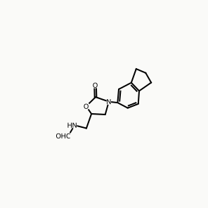 O=CNCC1CN(c2ccc3c(c2)CCC3)C(=O)O1